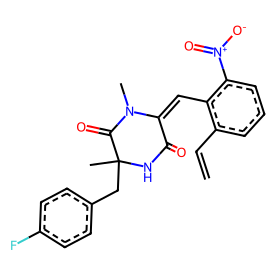 C=Cc1cccc([N+](=O)[O-])c1/C=C1\C(=O)NC(C)(Cc2ccc(F)cc2)C(=O)N1C